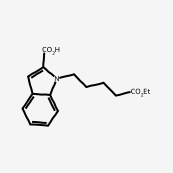 CCOC(=O)CCCCn1c(C(=O)O)cc2ccccc21